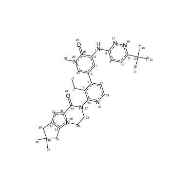 CCc1c(-c2cc(Nc3ccc(C(F)(F)F)nn3)c(=O)n(C)c2)ccnc1N1CCn2c(cc3c2CC(C)(C)C3)C1=O